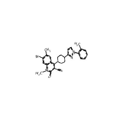 Cc1cc2c(N3CCC(c4ccn(-c5ccccc5C)n4)CC3)c(C#N)c(=O)n(C)c2cc1Br